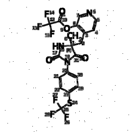 C[C@]1(Cc2ccncc2OC(=O)C(F)(F)F)NC(=O)N(c2ccc(SC(F)(F)F)cc2)C1=O